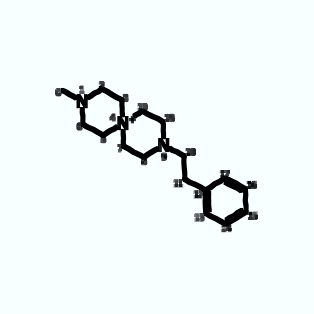 CN1CC[N+]2(CC1)CCN(CCc1ccccc1)CC2